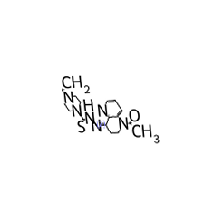 C=CN1CCN(C(=S)N/N=C2/CCN(C(C)=O)c3cccnc32)CC1